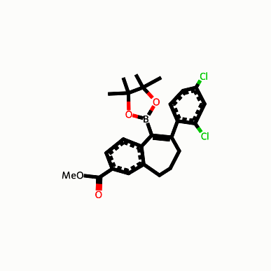 COC(=O)c1ccc2c(c1)CCCC(c1ccc(Cl)cc1Cl)=C2B1OC(C)(C)C(C)(C)O1